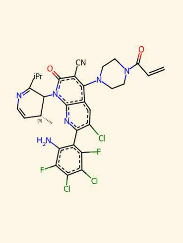 C=CC(=O)N1CCN(c2c(C#N)c(=O)n(C3C(C(C)C)=NC=C[C@H]3C)c3nc(-c4c(N)c(F)c(Cl)c(Cl)c4F)c(Cl)cc23)CC1